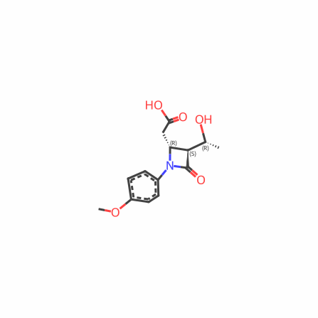 COc1ccc(N2C(=O)[C@H]([C@@H](C)O)[C@H]2CC(=O)O)cc1